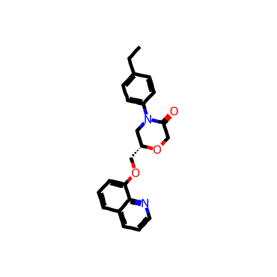 CCc1ccc(N2C[C@@H](COc3cccc4cccnc34)OCC2=O)cc1